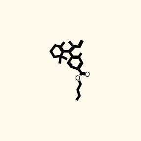 C=C/C(C)=C(/C1=C(C)CCCC1(C)C)c1ccc(C(=O)OCCCC)cc1C